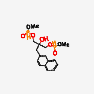 CO[PH](=O)OCC(O)(CO[PH](=O)OC)Cc1ccc2ccccc2c1